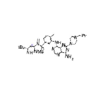 CN/C(=C\C(=N)C(C)(C)C)NC(=O)c1ccc(C)c(Nc2ncnc3c(N)nc(N4CCN(CC(C)C)CC4)nc23)c1